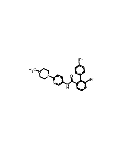 CC(C)c1ccc(-c2c(C(=O)Nc3ccc(N4CCN(C)CC4)nc3)cccc2C(C)C)cc1